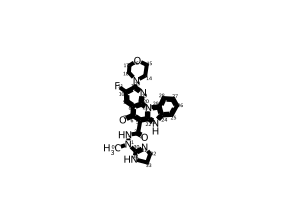 CN(NC(=O)c1c(=O)c2cc(F)c(N3CCOCC3)nc2n2c1[nH]c1ccccc12)C1=NCCN1